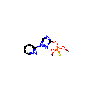 COP(=S)(OC)Oc1ncn(-c2ccccn2)n1